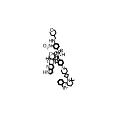 CC(C)c1ccccc1[C@@H]1CCCC(C)(C)N1C1CC2(CCN(c3ccc(C(=O)NS(=O)(=O)c4ccc(NCC5CCOCC5)c([N+](=O)[O-])c4)c(N4c5cc6cc[nH]c6nc5O[C@H]5COCC[C@@H]54)c3)CC2)C1